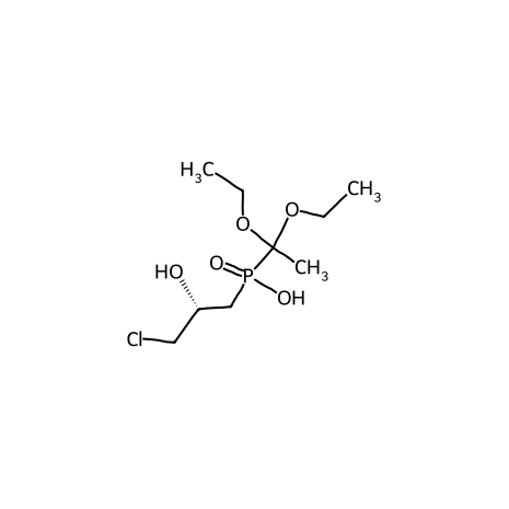 CCOC(C)(OCC)P(=O)(O)C[C@@H](O)CCl